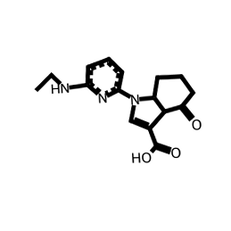 CCNc1cccc(N2C=C(C(=O)O)C3C(=O)CCCC32)n1